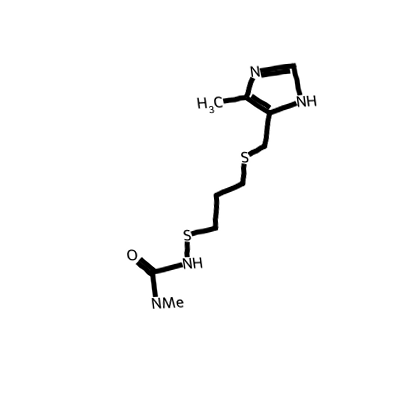 CNC(=O)NSCCCSCc1[nH]cnc1C